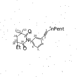 CCCCCC#Cc1cccc(N2C(=O)C(C)(C)CC(C)(CC)C2=O)c1